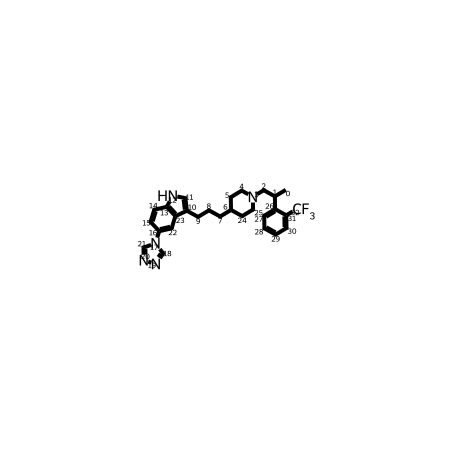 CC(CN1CCC(CCCc2c[nH]c3ccc(-n4cnnc4)cc23)CC1)c1ccccc1C(F)(F)F